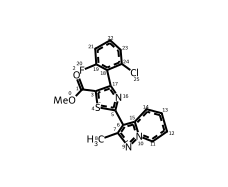 COC(=O)c1sc(-c2c(C)nn3ccccc23)nc1-c1c(F)cccc1Cl